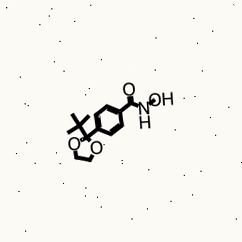 CC(C)(C)C1(c2ccc(C(=O)NO)cc2)OCCO1